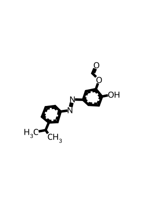 CC(C)c1cccc(/N=N/c2ccc(O)c(OC=O)c2)c1